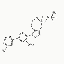 COc1cc(-c2cccc(C#N)c2)ccc1-c1nnc2n1CCSC(C)(CO[Si](C)(C)C(C)(C)C)C2